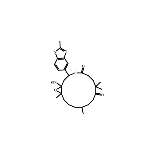 CCCCC12CC(c3ccc4sc(C)nc4c3)OC(=O)CCC(C)(C)C(=O)CCC(C)CCCC1(C)O2